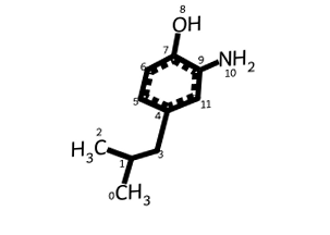 CC(C)Cc1ccc(O)c(N)c1